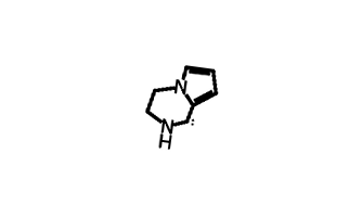 [C]1NCCn2cccc21